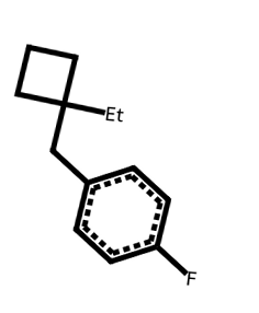 CCC1(Cc2ccc(F)cc2)CCC1